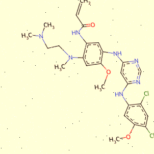 C=CC(=O)Nc1cc(Nc2cc(Nc3cc(OC)c(Cl)cc3Cl)ncn2)c(OC)cc1N(C)CCN(C)C